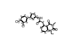 Cn1c(=O)c2c(CC(=O)Nc3nc(-c4ccc(Cl)c(Cl)c4)cs3)nccc2n(C)c1=O